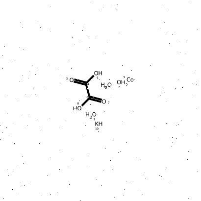 O.O.O.O=C(O)C(=O)O.[Co].[KH]